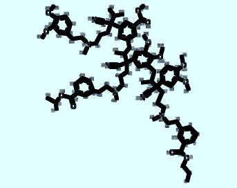 CCCOC(=O)c1cccc(CCN(C)CCCC(C#N)(c2ccc(OC)c(OC)c2)C(C)Cc2cc(C(C#N)(CCCN(C)CCc3cccc(C(=O)OC(C)C)c3)C(C)Cc3cc(C(=O)OC)cc(C(C#N)(CCCN(C)CCc4ccc(OC)c(OC)c4)C(C)C)c3)cc(OC)c2OC)c1